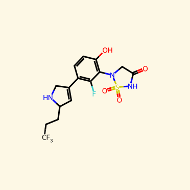 O=C1CN(c2c(O)ccc(C3=CC(CCC(F)(F)F)NC3)c2F)S(=O)(=O)N1